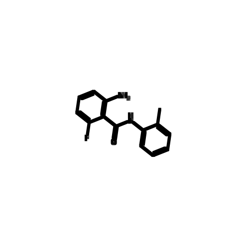 Cc1ccccc1NC(=O)c1c(N)cccc1F